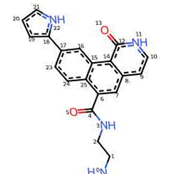 NCCNC(=O)c1cc2cc[nH]c(=O)c2c2cc(-c3ccc[nH]3)ccc12